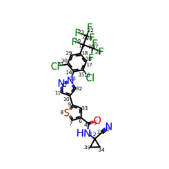 N#CC1(NC(=O)c2csc(-c3cnn(-c4c(Cl)cc(C(F)(C(F)(F)F)C(F)(F)F)cc4Cl)c3)c2)CC1